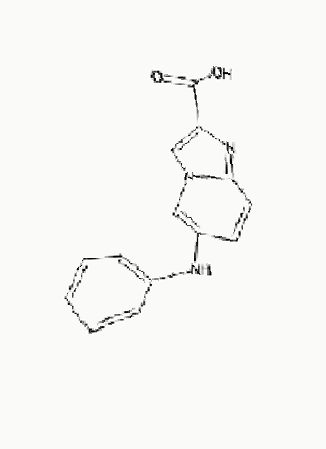 O=C(O)c1cn2cc(Nc3ccccc3)ccc2n1